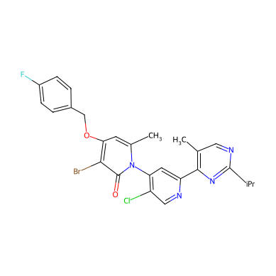 Cc1cnc(C(C)C)nc1-c1cc(-n2c(C)cc(OCc3ccc(F)cc3)c(Br)c2=O)c(Cl)cn1